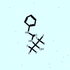 O=C(Nc1ccccc1)NC(O)(C(F)(F)F)C(F)(F)F